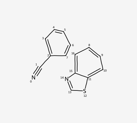 N#Cc1ccccc1.c1ccc2scnc2c1